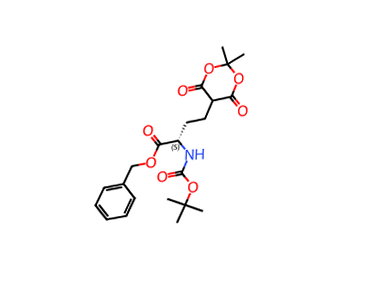 CC(C)(C)OC(=O)N[C@@H](CCC1C(=O)OC(C)(C)OC1=O)C(=O)OCc1ccccc1